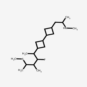 CNC(C)CC1CC(C2CC(C(C)C(F)C(C)C(C)SC)C2)C1